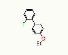 [CH2]COc1ccc(-c2ccccc2F)cc1